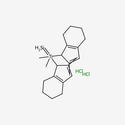 CC1=CC2=C(CCCC2)[CH]1[Ti]([CH3])([CH3])(=[SiH2])[CH]1C(C)=CC2=C1CCCC2.Cl.Cl